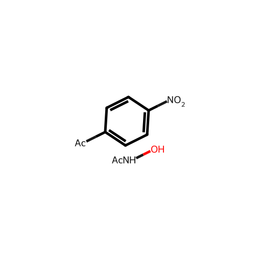 CC(=O)NO.CC(=O)c1ccc([N+](=O)[O-])cc1